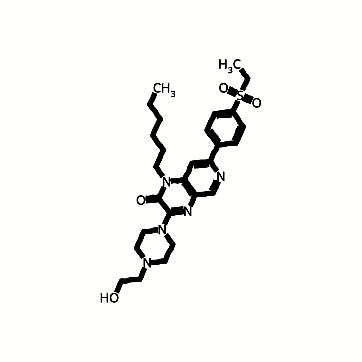 CCCCCCn1c(=O)c(N2CCN(CCO)CC2)nc2cnc(-c3ccc(S(=O)(=O)CC)cc3)cc21